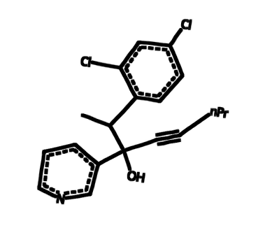 CCCC#CC(O)(c1cccnc1)C(C)c1ccc(Cl)cc1Cl